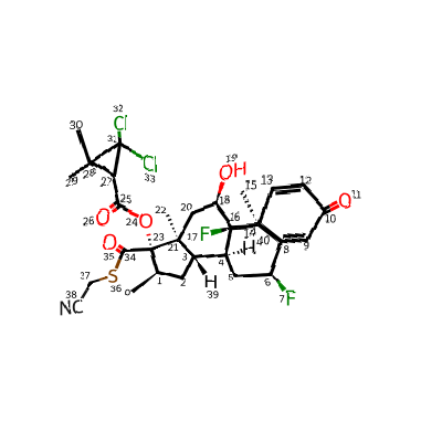 C[C@@H]1C[C@H]2[C@@H]3C[C@H](F)C4=CC(=O)C=C[C@]4(C)[C@@]3(F)[C@H](O)C[C@]2(C)[C@]1(OC(=O)C1C(C)(C)C1(Cl)Cl)C(=O)SCC#N